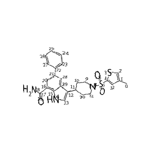 Cc1csc(S(=O)(=O)N2CCC(c3c[nH]c4c(C(N)=O)cc(-c5ccccc5)cc34)CC2)c1